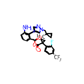 CC1(Cn2cc(-c3c(N)cccc3C(=O)OC(=O)C3(c4ccc(C(F)(F)F)cc4F)CC3)cn2)CC1